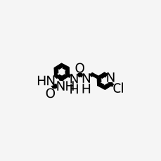 O=C(NCc1ccc(Cl)nc1)Nc1cccc2[nH]c(=O)[nH]c12